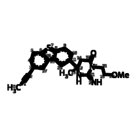 CC#Cc1ccc2sc3ccc([C@]4(C)CC(=O)N(CCOC)C(=N)N4)cc3c2c1